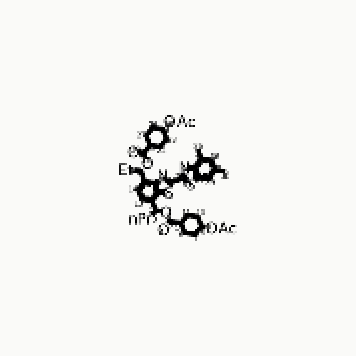 CCCC(OC(=O)C1CCC(OC(C)=O)CC1)c1ccc(C(CC)OC(=O)C2CCC(OC(C)=O)CC2)c2nc(-c3nc4c(C)cc(C)cc4s3)sc12